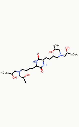 CCCCCCCCCCC(O)CN(CCCCC1NC(=O)C(CCCCN(CC(O)CCCCCCCCCC)CC(O)CCCCCCCCCC)NC1=O)CC(C)O